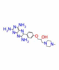 CN1CCN(CC(O)COc2ccc(-c3nc4c(N)nc(N)nc4nc3N)cc2)CC1